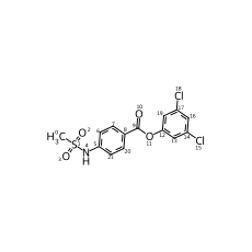 CS(=O)(=O)Nc1ccc(C(=O)Oc2cc(Cl)cc(Cl)c2)cc1